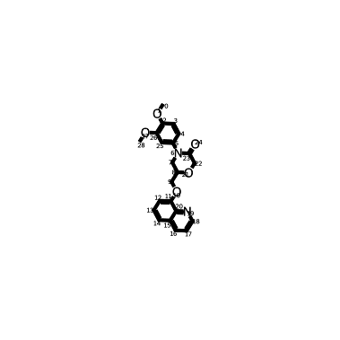 COc1ccc(N2CC(COc3cccc4cccnc34)OCC2=O)cc1OC